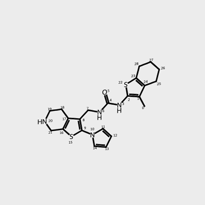 Cc1c(NC(=O)NCc2c(-n3cccc3)sc3c2CCNC3)sc2c1CCCC2